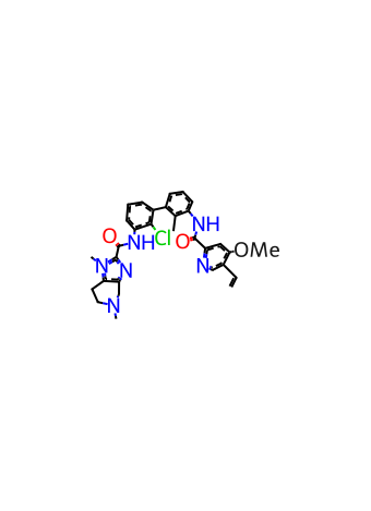 C=Cc1cnc(C(=O)Nc2cccc(-c3cccc(NC(=O)c4nc5c(n4C)CCN(C)C5)c3Cl)c2C)cc1OC